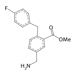 COC(=O)c1cc(CN)ccc1Cc1ccc(F)cc1